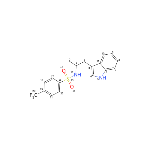 CC(Cc1c[nH]c2ccccc12)NS(=O)(=O)c1ccc(C(F)(F)F)cc1